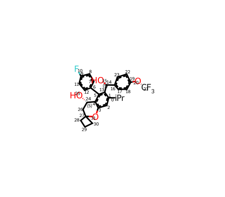 CC(C)c1cc2c(c(-c3ccc(F)cc3)c1[C@@H](O)c1ccc(OC(F)(F)F)cc1)[C@@H](O)CC1(CCC1)O2